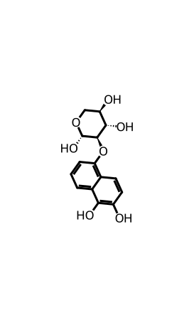 Oc1ccc2c(O[C@@H]3[C@@H](O)[C@H](O)CO[C@H]3O)cccc2c1O